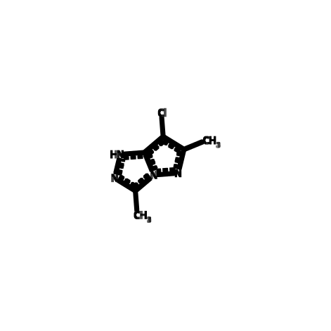 Cc1nn2c(C)n[nH]c2c1Cl